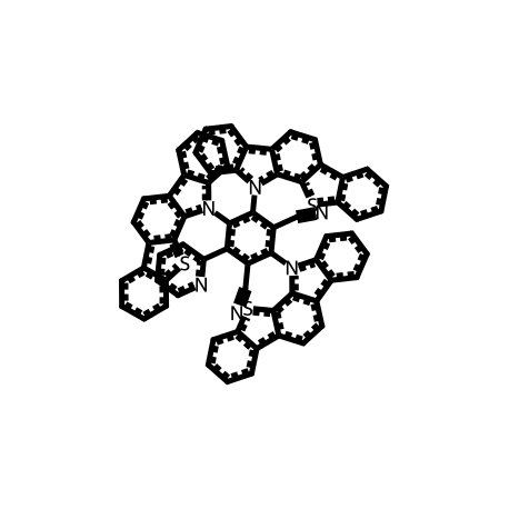 N#Cc1c(-c2ccccn2)c(-n2c3ccccc3c3ccc4c5ccccc5sc4c32)c(-n2c3ccccc3c3ccc4c5ccccc5sc4c32)c(C#N)c1-n1c2ccccc2c2ccc3c4ccccc4sc3c21